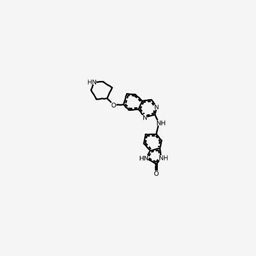 O=c1[nH]c2ccc(Nc3ncc4ccc(OC5CCNCC5)cc4n3)cc2[nH]1